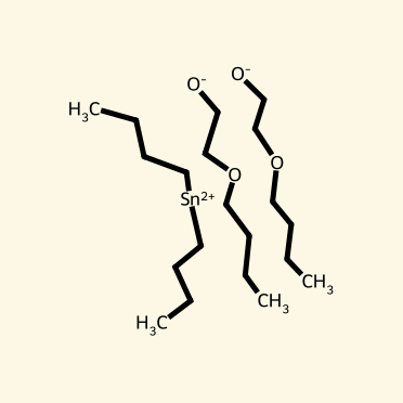 CCCCOCC[O-].CCCCOCC[O-].CCC[CH2][Sn+2][CH2]CCC